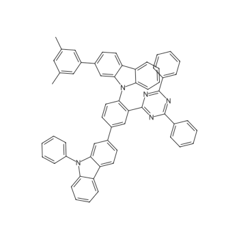 Cc1cc(C)cc(-c2ccc3c4ccccc4n(-c4ccc(-c5ccc6c7ccccc7n(-c7ccccc7)c6c5)cc4-c4nc(-c5ccccc5)nc(-c5ccccc5)n4)c3c2)c1